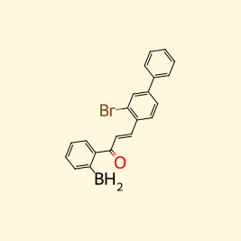 Bc1ccccc1C(=O)/C=C/c1ccc(-c2ccccc2)cc1Br